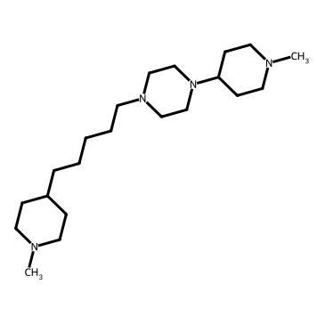 CN1CCC(CCCCCN2CCN(C3CCN(C)CC3)CC2)CC1